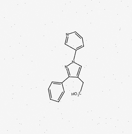 O=C(O)Cc1cn(-c2cccnc2)nc1-c1ccccc1